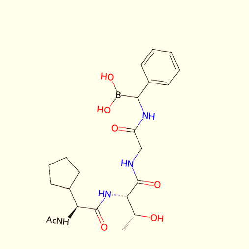 CC(=O)N[C@H](C(=O)N[C@H](C(=O)NCC(=O)NC(B(O)O)c1ccccc1)[C@@H](C)O)C1CCCC1